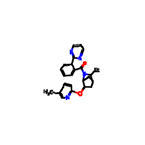 CCC1C2CC(Oc3ccc(C)cn3)C(C2)N1C(=O)c1ccccc1-c1ncccn1